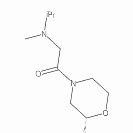 CC(C)N(C)CC(=O)N1CCO[C@H](C)C1